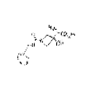 CC(C(=O)O)C1(O)CN(C(=O)OCc2ccccc2)C1